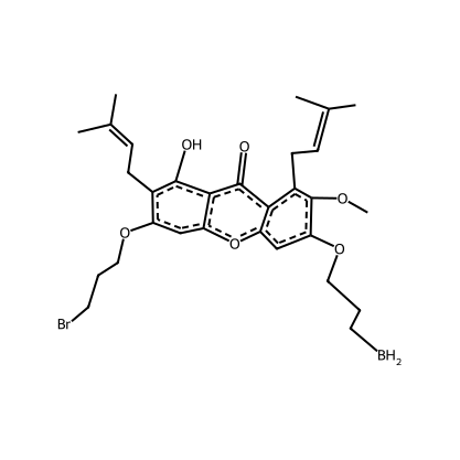 BCCCOc1cc2oc3cc(OCCCBr)c(CC=C(C)C)c(O)c3c(=O)c2c(CC=C(C)C)c1OC